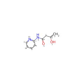 C=C(O)CC(=O)Nc1ccccn1